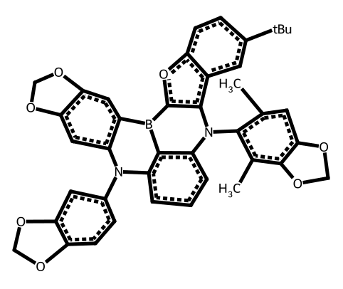 Cc1cc2c(c(C)c1N1c3cccc4c3B(c3cc5c(cc3N4c3ccc4c(c3)OCO4)OCO5)c3oc4ccc(C(C)(C)C)cc4c31)OCO2